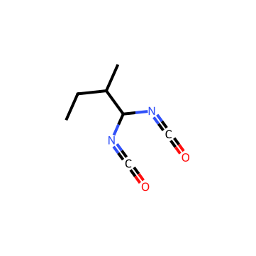 CCC(C)C(N=C=O)N=C=O